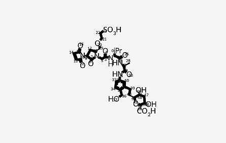 CC(C)C(NC(=O)CN1C(=O)[C@@H](N2C(=O)C=CC2=O)C[C@H]1COCCS(=O)(=O)O)C(=O)N[C@@H](C)C(=O)Nc1ccc(CO)c(CC[C@@H]2O[C@H](C(=O)O)[C@@H](O)C[C@H]2O)c1